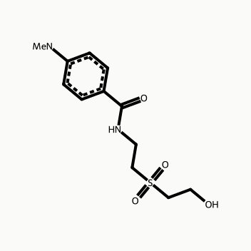 CNc1ccc(C(=O)NCCS(=O)(=O)CCO)cc1